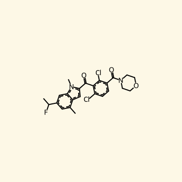 Cc1cc(C(C)F)cc2c1cc(C(=O)c1c(Cl)ccc(C(=O)N3CCOCC3)c1Cl)n2C